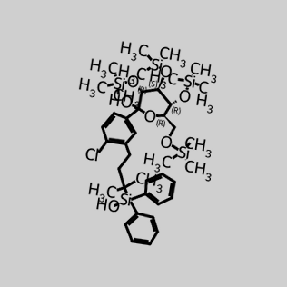 CC(C)(CCc1cc(C2(O)O[C@H](CO[Si](C)(C)C)[C@@H](O[Si](C)(C)C)[C@H](O[Si](C)(C)C)[C@H]2O[Si](C)(C)C)ccc1Cl)[Si](O)(c1ccccc1)c1ccccc1